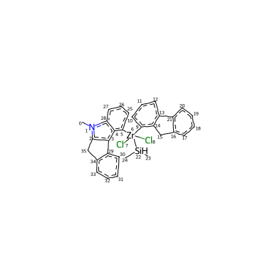 Cn1c2c(c3[c]([Zr]([Cl])([Cl])([c]4cccc5c4Cc4ccccc4-5)[SiH](C)C)cccc31)-c1ccccc1C2